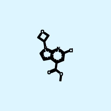 COC(=O)c1cc(Cl)nc2c1ccn2C1COC1